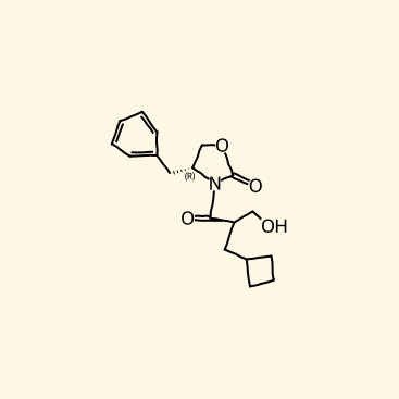 O=C1OC[C@@H](Cc2ccccc2)N1C(=O)C(CO)CC1CCC1